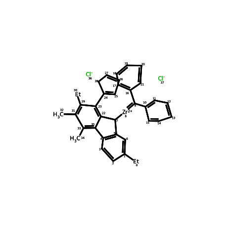 CCc1ccc2c(c1)[CH]([Zr+2]=[C](c1ccccc1)c1ccccc1)c1c(C3=CC=CC3)c(CC)c(C)c(C)c1-2.[Cl-].[Cl-]